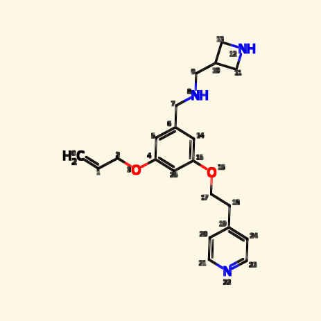 C=CCOc1cc(CNCC2CNC2)cc(OCCc2ccncc2)c1